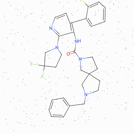 O=C(Nc1c(-c2ccccc2F)ccnc1N1CCC(F)(F)C1)N1CCC2(CCN(Cc3ccccc3)C2)C1